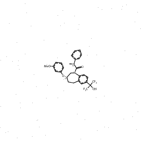 COc1cccc(O[C@H]2CCc3cc(C(O)(C(F)(F)F)C(F)(F)F)ccc3N(C(=O)[C@@H](C)c3ccccc3)C2)c1